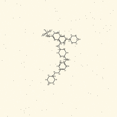 CS(=O)(=O)Nc1cnc2cc(N3CCOCC3)nc(OC3CCC(Nc4ncc(CCN5CCOCC5)cn4)CC3)c2c1